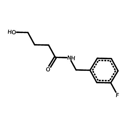 O=C(CCCO)NCc1cccc(F)c1